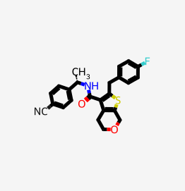 C[C@H](NC(=O)c1c(Cc2ccc(F)cc2)sc2c1CCOC2)c1ccc(C#N)cc1